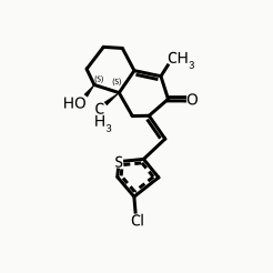 CC1=C2CCC[C@H](O)[C@@]2(C)CC(=Cc2cc(Cl)cs2)C1=O